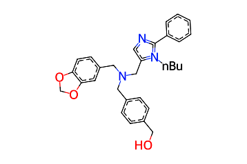 CCCCn1c(CN(Cc2ccc(CO)cc2)Cc2ccc3c(c2)OCO3)cnc1-c1ccccc1